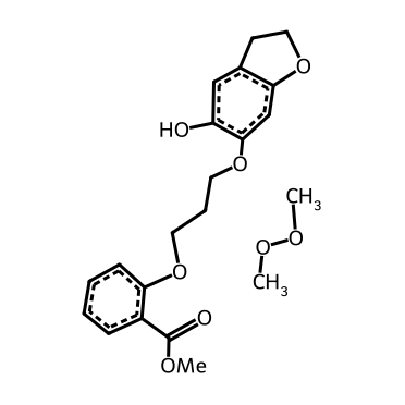 COC(=O)c1ccccc1OCCCOc1cc2c(cc1O)CCO2.COOC